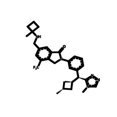 Cn1cnnc1[C@@H](c1cccc(N2Cc3c(cc(CNC4(C)CCC4)cc3C(F)(F)F)C2=O)c1)[C@H]1C[C@@H](C)C1